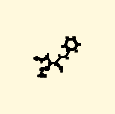 CC(C)(C)N=NC(N=C=S)C(=O)CCc1ccccc1